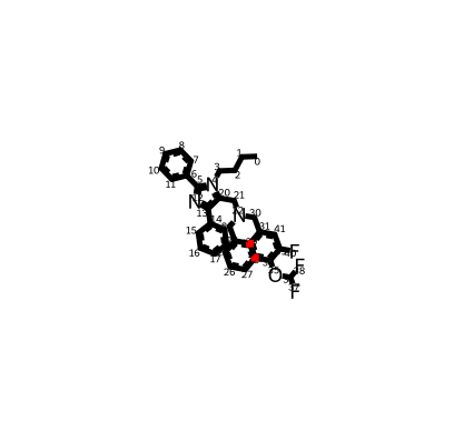 CCCCn1c(-c2ccccc2)nc(-c2ccccc2)c1CN(Cc1ccccc1)Cc1ccc(OC(F)F)c(F)c1